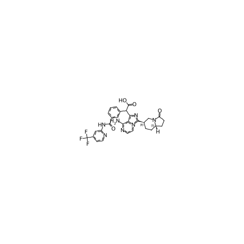 Nc1nccn2c([C@@H]3CC[C@H]4CCC(=O)N4C3)nc(C(C(=O)O)c3cccc(C(=O)Nc4cc(C(F)(F)F)ccn4)c3)c12